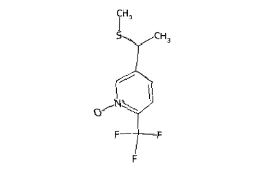 CSC(C)c1ccc(C(F)(F)F)[n+]([O-])c1